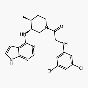 C[C@H]1CCN(C(=O)CNc2cc(Cl)cc(Cl)c2)C[C@H]1Nc1ncnc2[nH]ccc12